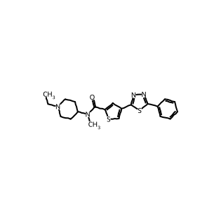 CCN1CCC(N(C)C(=O)c2cc(-c3nnc(-c4ccccc4)s3)cs2)CC1